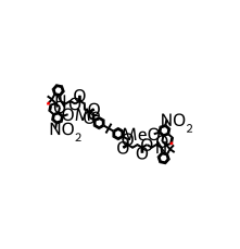 COc1cc([N+](=O)[O-])cc2c1OC1(C=C2)N(CCOC(=O)CCC(=O)Oc2ccc(C(C)(C)c3ccc(OC(=O)CCC(=O)OCCN4c5ccccc5C(C)(C)C45C=Cc4cc([N+](=O)[O-])cc(OC)c4O5)cc3)cc2)c2ccccc2C1(C)C